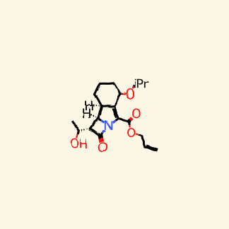 C=CCOC(=O)C1=C2[C@H](OC(C)C)CCC[C@@H]2[C@@H]2[C@@H](C(C)O)C(=O)N12